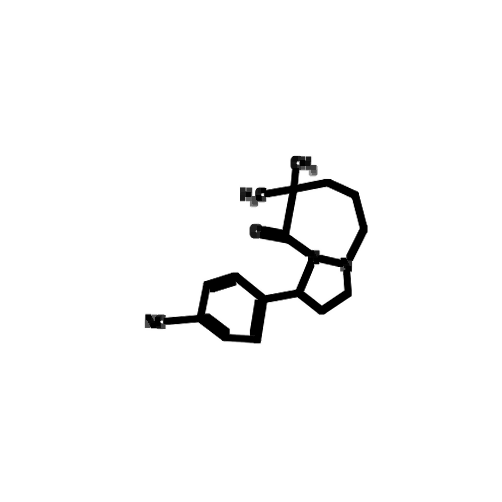 CC1(C)CCCN2CCC(c3ccc(C#N)cc3)N2C1=O